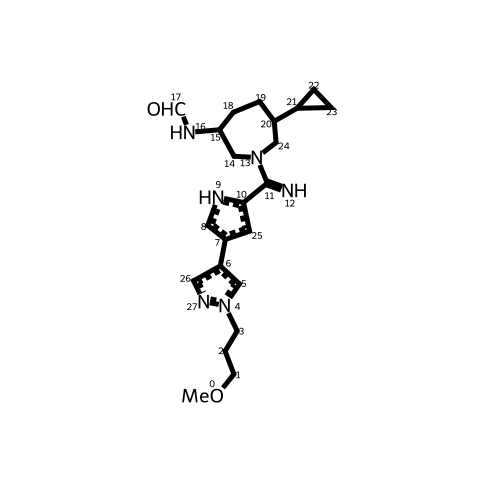 COCCCn1cc(-c2c[nH]c(C(=N)N3CC(NC=O)CCC(C4CC4)C3)c2)cn1